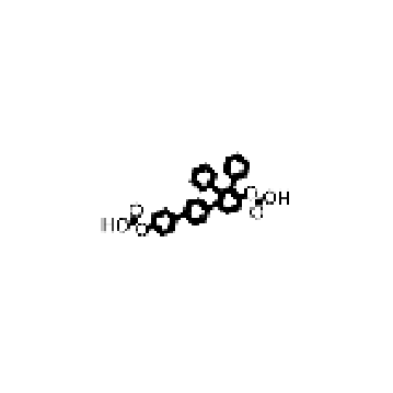 O=C(O)Oc1ccc(-c2ccc(-c3ccc(OC(=O)O)c(-c4ccccc4)c3-c3ccccc3)cc2)cc1